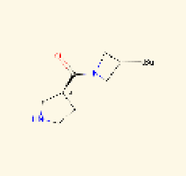 CC(C)(C)C1CN(C(=O)[C@H]2CCNC2)C1